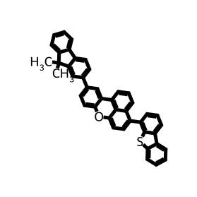 CC1(C)c2ccccc2-c2ccc(-c3ccc4c(c3)-c3cccc5c(-c6cccc7c6sc6ccccc67)ccc(c35)O4)cc21